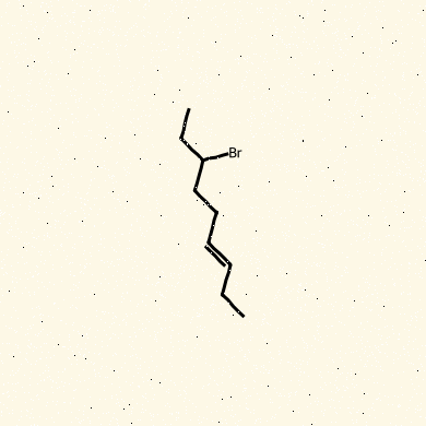 CCC=CCCC(Br)CC